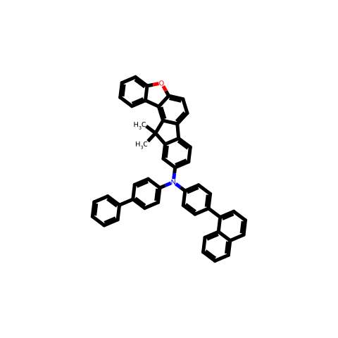 CC1(C)c2cc(N(c3ccc(-c4ccccc4)cc3)c3ccc(-c4cccc5ccccc45)cc3)ccc2-c2ccc3oc4ccccc4c3c21